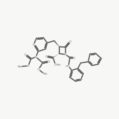 COC(=O)[C@@H]1[C@@H](Cc2ccnc(N(C(=O)OC(C)(C)C)C(=O)OC(C)(C)C)c2)C(=O)N1C(=O)Nc1ccccc1Cc1ccccc1